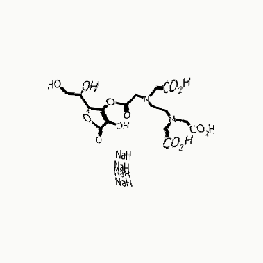 O=C(O)CN(CCN(CC(=O)O)CC(=O)OC1=C(O)C(=O)O[C@@H]1[C@@H](O)CO)CC(=O)O.[NaH].[NaH].[NaH].[NaH]